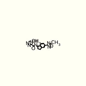 Cc1nc(-c2ccc3c(c2)CC[C@H]3NC(=O)c2nncn2C)no1